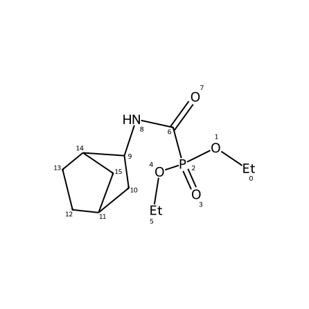 CCOP(=O)(OCC)C(=O)NC1CC2CCC1C2